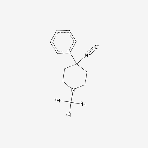 [2H]C([2H])([2H])N1CCC([N+]#[C-])(c2ccccc2)CC1